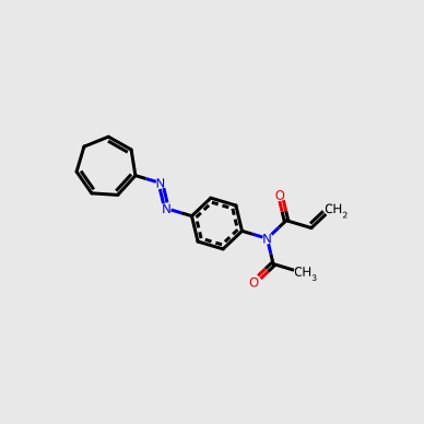 C=CC(=O)N(C(C)=O)c1ccc(/N=N/C2=CC=CCC=C2)cc1